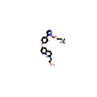 C[Si](C)(C)CCOCn1nccc1-c1ccc(Oc2ccc3nc(CCO)ccc3c2)cc1